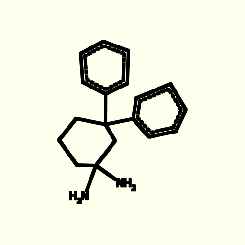 NC1(N)CCCC(c2ccccc2)(c2ccccc2)C1